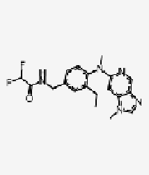 CCc1cc(CNC(=O)C(F)F)ccc1N(C)c1cc2c(cn1)ncn2C